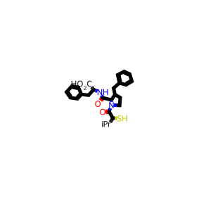 CC(C)C(S)C(=O)N1CCC(Cc2ccccc2)C1C(=O)NC(Cc1ccccc1)C(=O)O